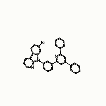 Brc1ccc2c3cccnc3n(-c3cccc(-c4cc(-c5ccccc5)cc(-c5ccccc5)n4)c3)c2c1